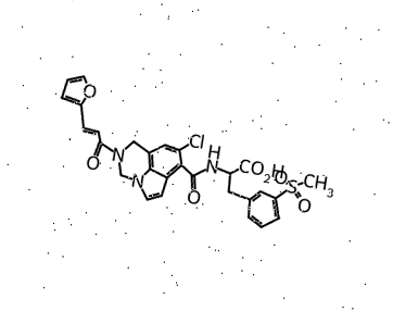 CS(=O)(=O)c1cccc(CC(NC(=O)c2c(Cl)cc3c4c2ccn4CN(C(=O)C=Cc2ccco2)C3)C(=O)O)c1